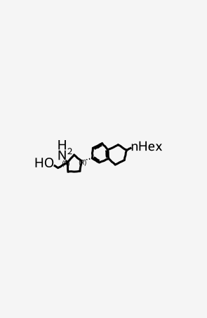 CCCCCCC1CCc2cc([C@@H]3CC[C@](N)(CO)C3)ccc2C1